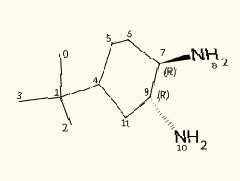 CC(C)(C)C1CC[C@@H](N)[C@H](N)C1